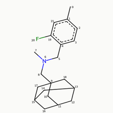 Cc1ccc(CN(C)CC23CC4CC(CC(C4)C2)C3)c(F)c1